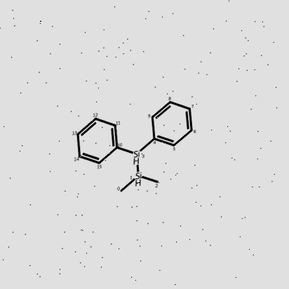 C[SiH](C)[SiH](c1ccccc1)c1ccccc1